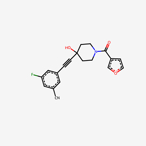 N#Cc1cc(F)cc(C#CC2(O)CCN(C(=O)c3ccoc3)CC2)c1